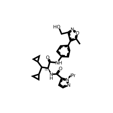 Cc1onc(CO)c1-c1ccc(NC(=O)[C@@H](NC(=O)c2ccnn2C(C)C)C(C2CC2)C2CC2)cc1